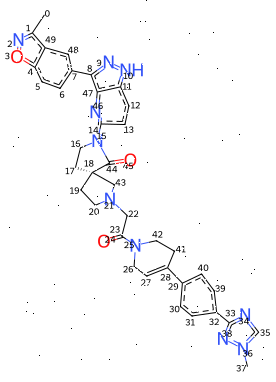 Cc1noc2ccc(-c3n[nH]c4ccc(N5CC[C@]6(CCN(CC(=O)N7CC=C(c8ccc(-c9ncn(C)n9)cc8)CC7)C6)C5=O)nc34)cc12